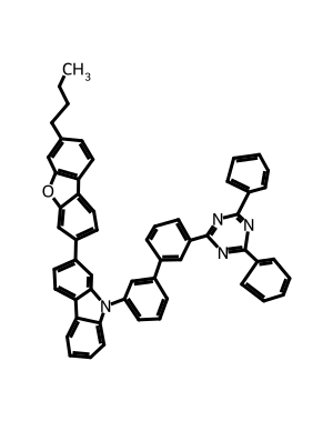 CCCCc1ccc2c(c1)oc1cc(-c3ccc4c5ccccc5n(-c5cccc(-c6cccc(-c7nc(-c8ccccc8)nc(-c8ccccc8)n7)c6)c5)c4c3)ccc12